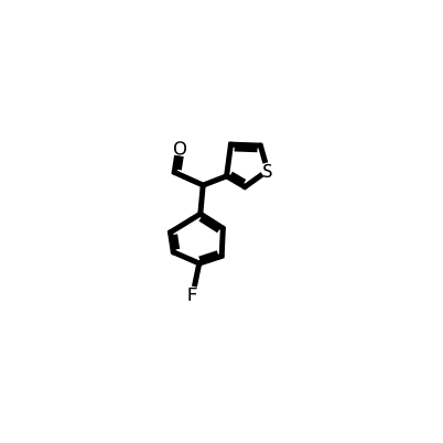 O=CC(c1ccc(F)cc1)c1ccsc1